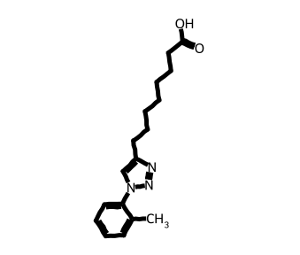 Cc1ccccc1-n1cc(CCCCCCCC(=O)O)nn1